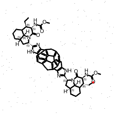 CC[C@@H]1C2CCC[C@H]3C[C@@H](c4nc5cc(-c6cc7ccc6CCc6ccc(c(-c8ccc9[nH]c([C@@H]%10C[C@@H]%11CCCC%12[C@@H](CC)[C@H](NC(=O)OC)C(=O)N%10[C@@H]%12%11)nc9c8)c6)CC7)ccc5[nH]4)N(C(=O)[C@H]1NC(=O)OC)[C@@H]23